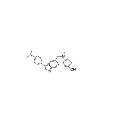 CN(C)c1ccc(-c2cnc3cnc(CN(C)c4ccc(C#N)cc4)cn23)cc1